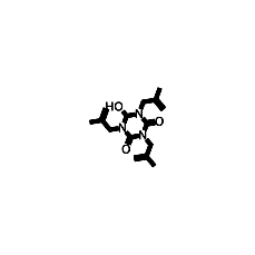 C=C(C)CN1C(=O)N(CC(=C)C)C(O)N(CC(=C)C)C1=O